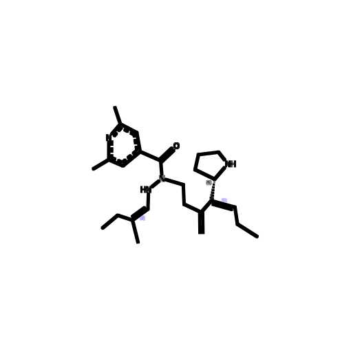 C=C(CCN(N/C=C(/C)CC)C(=O)c1cc(C)nc(C)c1)/C(=C\CC)[C@@H]1CCCN1